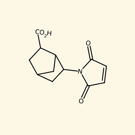 O=C(O)C1CC2CC1C(N1C(=O)C=CC1=O)C2